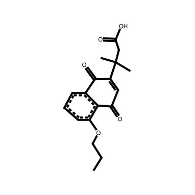 CCCOc1cccc2c1C(=O)C=C(C(C)(C)CC(=O)O)C2=O